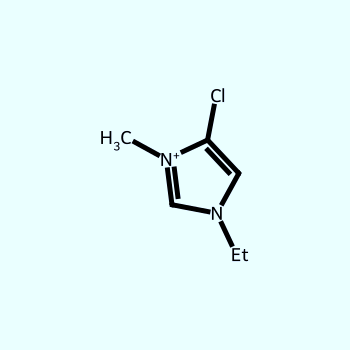 CCn1cc(Cl)[n+](C)c1